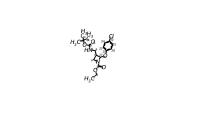 CCOC(=O)N1CC(CNC(=O)OC(C)(C)C)C1Oc1ccc(Cl)cc1